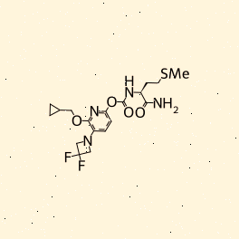 CSCC[C@H](NC(=O)Oc1ccc(N2CC(F)(F)C2)c(OCC2CC2)n1)C(N)=O